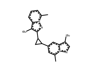 Cc1cc(C2CC2c2nn3c(C)cccc3c2C(C)(C)C)cc2c(C(C)(C)C)cnn12